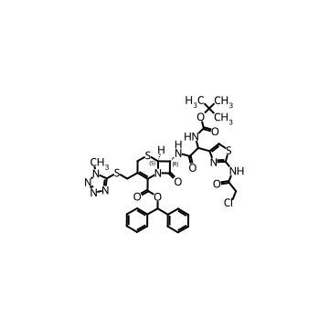 Cn1nnnc1SCC1=C(C(=O)OC(c2ccccc2)c2ccccc2)N2C(=O)[C@@H](NC(=O)C(NC(=O)OC(C)(C)C)c3csc(NC(=O)CCl)n3)[C@@H]2SC1